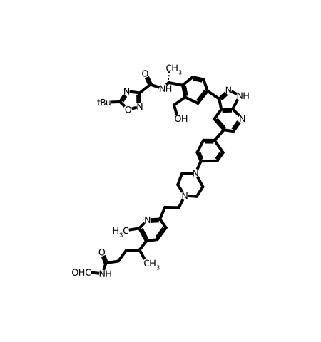 Cc1nc(CCN2CCN(c3ccc(-c4cnc5[nH]nc(-c6ccc([C@@H](C)NC(=O)c7noc(C(C)(C)C)n7)c(CO)c6)c5c4)cc3)CC2)ccc1C(C)CCC(=O)NC=O